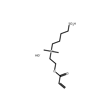 C=CC(=O)OCC[N+](C)(C)CCCCS(=O)(=O)O.[OH-]